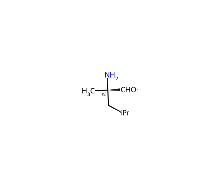 CC(C)C[C@](C)(N)[C]=O